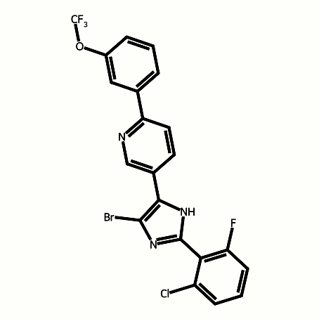 Fc1cccc(Cl)c1-c1nc(Br)c(-c2ccc(-c3cccc(OC(F)(F)F)c3)nc2)[nH]1